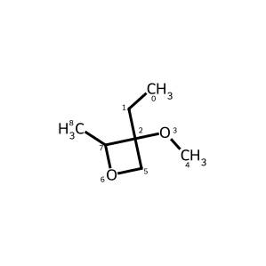 CCC1(OC)COC1C